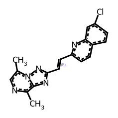 Cc1ncc(C)n2nc(/C=C/c3ccc4ccc(Cl)cc4n3)nc12